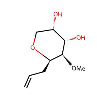 C=CC[C@H]1OC[C@H](O)[C@H](O)[C@H]1OC